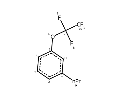 [CH2]CCc1cccc(OC(F)(F)C(F)(F)F)c1